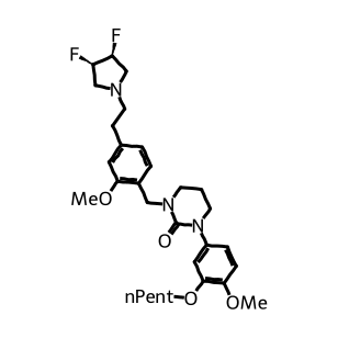 CCCCCOc1cc(N2CCCN(Cc3ccc(CCN4C[C@@H](F)[C@@H](F)C4)cc3OC)C2=O)ccc1OC